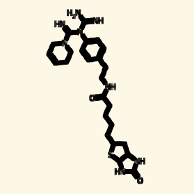 N=C(N)N(C(=N)N1CC=CCC1)c1ccc(CCNC(=O)CCCCC2CC3NC(=O)NC3S2)cc1